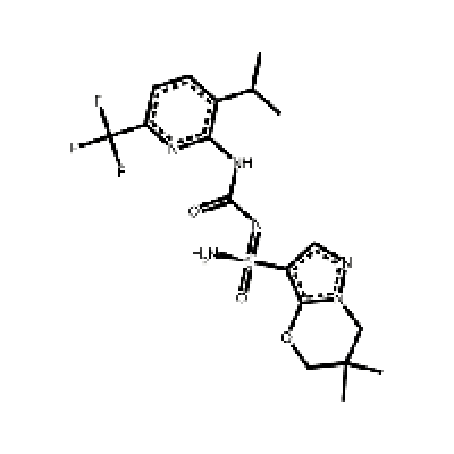 CC(C)c1ccc(C(F)(F)F)nc1NC(=O)N=[S@@](N)(=O)c1cnn2c1OCC(C)(C)C2